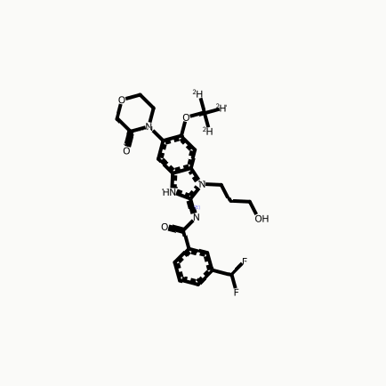 [2H]C([2H])([2H])Oc1cc2c(cc1N1CCOCC1=O)[nH]/c(=N\C(=O)c1cccc(C(F)F)c1)n2CCCO